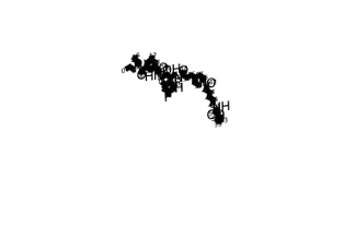 CCCN(CCC)C(=O)c1cc(C)cc(C(=O)N[C@@H](Cc2cc(F)cc(F)c2)[C@H](O)CCNC(=O)CCC2CCN(C(=O)CCCCCNC(=O)OC(C)(C)C)CC2)c1